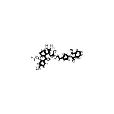 COc1ccc2[nH]c(C)c(CC(=O)OCCc3ccc(N4C(=O)c5ccccc5C4=O)cc3)c2c1C(=O)c1ccc(Cl)cc1